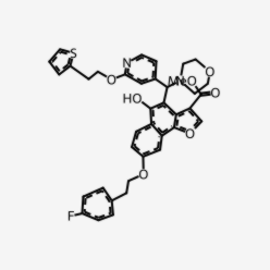 COC(=O)c1coc2c1c(C(c1ccnc(OCCc3cccs3)c1)N1CCOCC1)c(O)c1ccc(OCCc3ccc(F)cc3)cc12